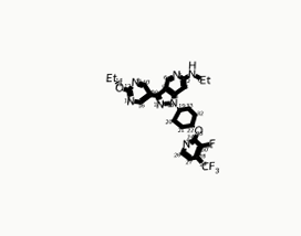 CCNc1cc2c(cn1)c(-c1cnc(OCC)nc1)nn2[C@H]1CC[C@@H](Oc2nccc(C(F)(F)F)c2F)CC1